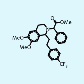 COC(=O)C(c1ccccc1)N1CCc2cc(OC)c(OC)cc2C1CCc1ccc(C(F)(F)F)cc1